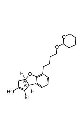 OC1=C(Br)[C@@H]2c3cccc(CCCCOC4CCCCO4)c3O[C@@H]2C1